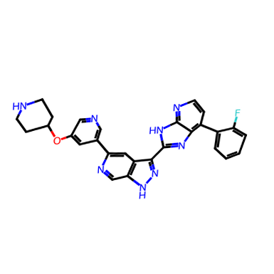 Fc1ccccc1-c1ccnc2[nH]c(-c3n[nH]c4cnc(-c5cncc(OC6CCNCC6)c5)cc34)nc12